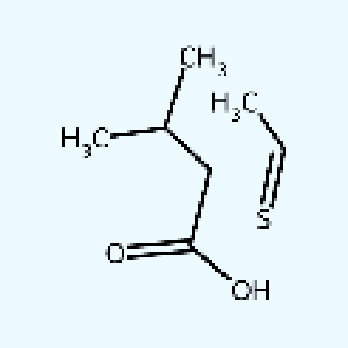 CC(C)CC(=O)O.CC=S